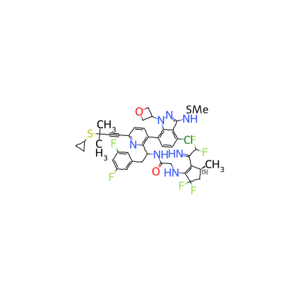 CSNc1nn(C2COC2)c2c(-c3ccc(C#CC(C)(C)SC4CC4)nc3C(Cc3cc(F)cc(F)c3)NC(=O)CNC3=C(C(=N)C(F)F)[C@@H](C)CC3(F)F)ccc(Cl)c12